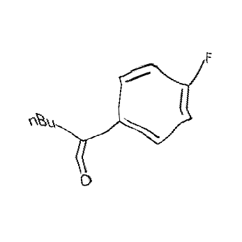 CCCCC(=O)c1ccc(F)cc1